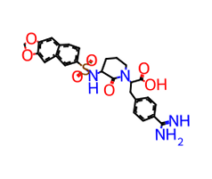 N=C(N)c1ccc(CC(C(=O)O)N2CCCC(NS(=O)(=O)c3ccc4cc5c(cc4c3)OCO5)C2=O)cc1